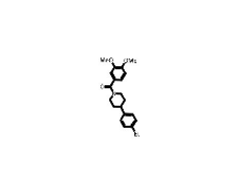 CCc1ccc(C2CCN(C(=O)c3ccc(OC)c(OC)c3)CC2)cc1